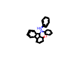 O=C1C=CC=C2C1=C(N(Nc1ccccc1)c1ccccc1)c1ccccc12